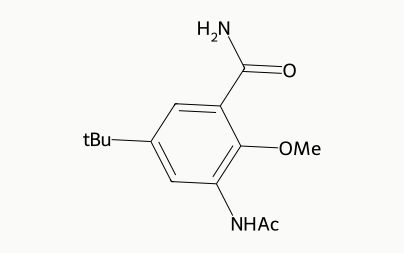 COc1c(NC(C)=O)cc(C(C)(C)C)cc1C(N)=O